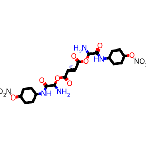 NC(OC(=O)/C=C/C(=O)OC(N)C(=O)NC1CCC(O[N+](=O)[O-])CC1)C(=O)NC1CCC(O[N+](=O)[O-])CC1